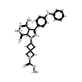 CC(C)(C)OC(=O)N1CC2(CC(N3N=C(c4ccc(Oc5ccccc5)cc4)C4C(N)=NNC(=O)C43)C2)C1